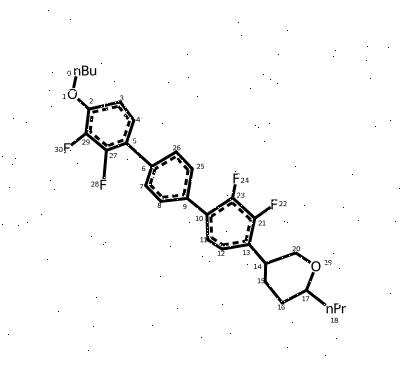 CCCCOc1ccc(-c2ccc(-c3ccc(C4CCC(CCC)OC4)c(F)c3F)cc2)c(F)c1F